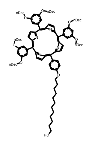 CCCCCCCCCCOc1cc(OCCCCCCCCCC)cc(C2=C3C=CC(=N3)C(c3cc(OCCCCCCCCCC)cc(OCCCCCCCCCC)c3)=C3C=CC(=N3)C(c3cc(OCCCCCCCCCC)cc(OCCCCCCCCCC)c3)=C3C=CC(=N3)C(c3ccc(OCCCCCCCCCCCCO)cc3)=C3C=CC2=N3)c1